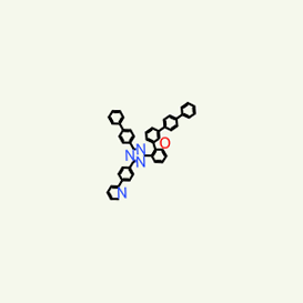 c1ccc(-c2ccc(-c3nc(-c4ccc(-c5ccccn5)cc4)nc(-c4cccc5oc6c(-c7ccc(-c8ccccc8)cc7)cccc6c45)n3)cc2)cc1